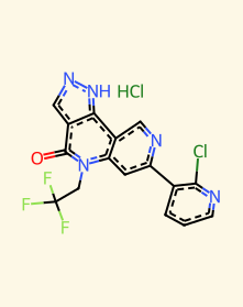 Cl.O=c1c2cn[nH]c2c2cnc(-c3cccnc3Cl)cc2n1CC(F)(F)F